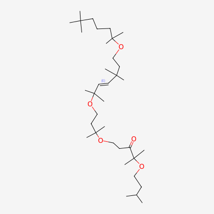 CC(C)CCOC(C)(C)C(=O)CCOC(C)(C)CCOC(C)(C)/C=C/C(C)(C)CCOC(C)(C)CCCC(C)(C)C